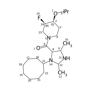 CC(C)O[C@H]1CCN(C(=O)C2C(C)NC(C)N2C2CCCCCCC2)C[C@H]1F